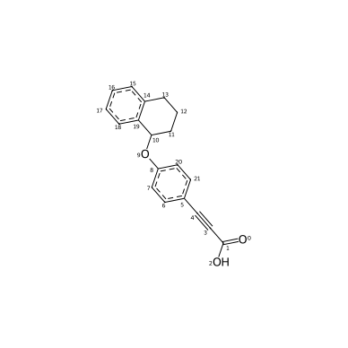 O=C(O)C#Cc1ccc(OC2CCCc3ccccc32)cc1